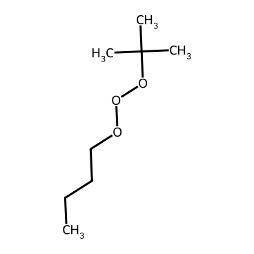 CCCCOOOC(C)(C)C